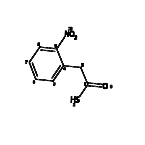 O=C(S)Cc1ccccc1[N+](=O)[O-]